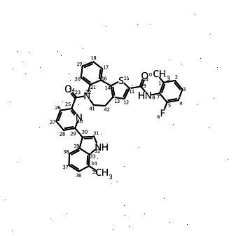 Cc1cccc(F)c1NC(=O)c1cc2c(s1)-c1ccccc1N(C(=O)c1cccc(-c3c[nH]c4c(C)cccc34)n1)CC2